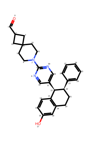 O=CC1CC2(CCN(c3ncc([C@@H]4c5ccc(O)cc5CC[C@@H]4c4ccccc4)cn3)CC2)C1